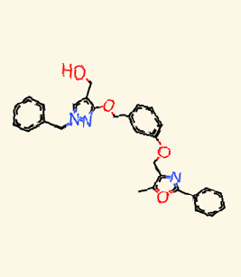 Cc1oc(-c2ccccc2)nc1COc1cccc(COc2nn(Cc3ccccc3)cc2CO)c1